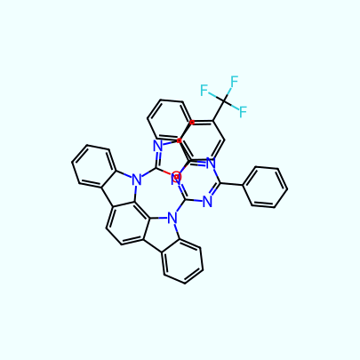 FC(F)(F)c1ccc2oc(-n3c4ccccc4c4ccc5c6ccccc6n(-c6nc(-c7ccccc7)nc(-c7ccccc7)n6)c5c43)nc2c1